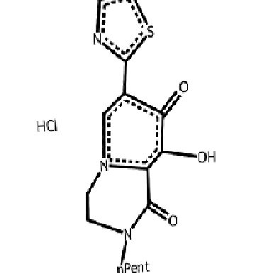 CCCCCN1CCn2cc(-c3nccs3)c(=O)c(O)c2C1=O.Cl